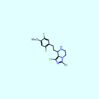 CCc1nc(Cl)c2n1CCNC2CCc1cc(F)c(OC)cc1F